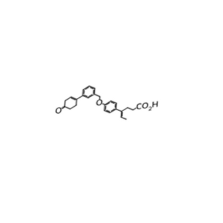 CC=C(CCC(=O)O)c1ccc(OCc2cccc(C3=CCC(=O)CC3)c2)cc1